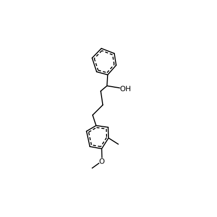 COc1ccc(CCCC(O)c2ccccc2)cc1C